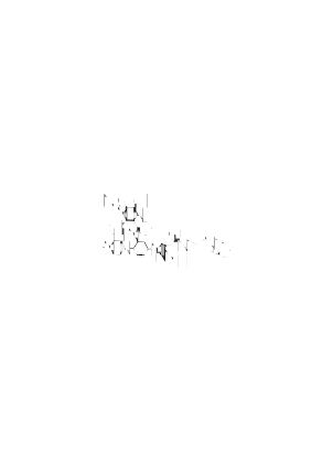 CN1CCN(c2ccc(-n3cc(C(=O)NCCCN4CCOCC4)nn3)cc2NC(=O)c2nc(Cl)c(C#N)nc2Cl)CC1